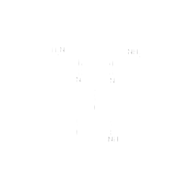 Nc1cc(N)nc(C2CCCNC2)n1